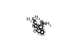 CC(C)=Cc1cnc(N2C(=O)Cc3ccccc3C23CCN(C(N)=O)CC3)cn1